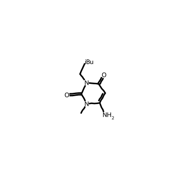 CCC(C)Cn1c(=O)cc(N)n(C)c1=O